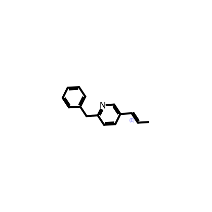 C/C=C/c1ccc(Cc2ccccc2)nc1